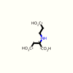 O=C(O)CCNC(CC(=O)O)C(=O)O